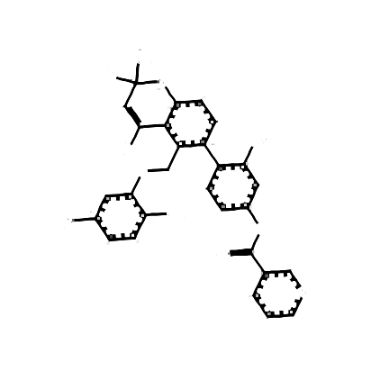 COc1cc(OC(=O)c2cccnc2)ccc1-c1ccc2c(c1COc1cc([N+](=O)[O-])ccc1C)C(C)=CC(C)(C)N2